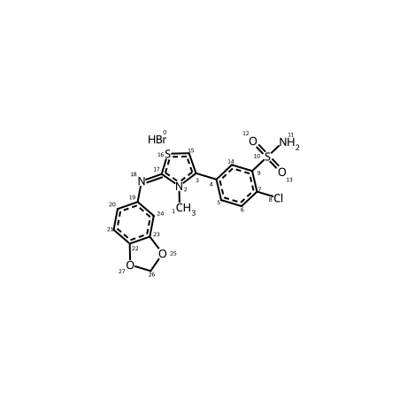 Br.Cn1c(-c2ccc(Cl)c(S(N)(=O)=O)c2)csc1=Nc1ccc2c(c1)OCO2